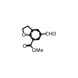 COC(=O)c1cc(C=O)cc2c1OCC2